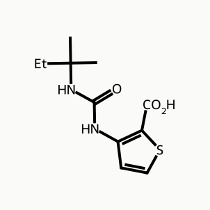 CCC(C)(C)NC(=O)Nc1ccsc1C(=O)O